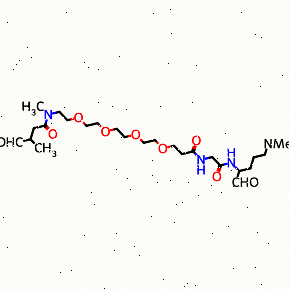 CNCCCC(C=O)NC(=O)CNC(=O)CCOCCOCCOCCOCCN(C)C(=O)CC(C)C=O